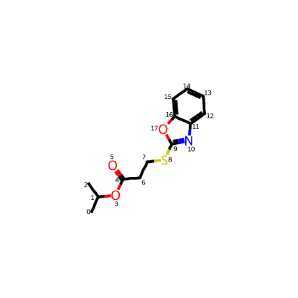 CC(C)OC(=O)CCSc1nc2ccccc2o1